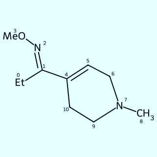 CC/C(=N\OC)C1=CCN(C)CC1